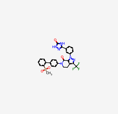 CS(=O)(=O)c1ccccc1-c1ccc(N2CCc3c(C(F)(F)F)nn(-c4cccc(-c5n[nH]c(=O)[nH]5)c4)c3C2=O)cc1